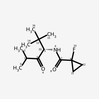 CC(C)C(=O)[C@@H](NC(=O)C1(F)CC1)C(C)(C)C